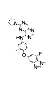 Cc1cc(Nc2ncnc3cnc(N4CCCC4)nc23)ccc1Oc1cc(F)c2c(c1)ncn2C